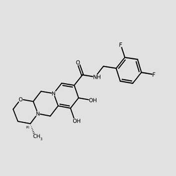 C[C@@H]1CCOC2CN3C=C(C(=O)NCc4ccc(F)cc4F)C(O)C(O)=C3CN21